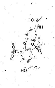 CC(=O)Nc1ccc(Sc2c([N+](=O)[O-])cc(C(=O)O)cc2S(N)(=O)=O)cc1